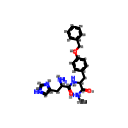 CC(C)(C)NC(=O)C(Cc1ccc(OCc2ccccc2)cc1)NC(=O)C(N)Cc1c[nH]cn1